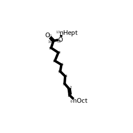 CCCCCCCCC=CCCCCCCCC(=O)OCCCCCCC